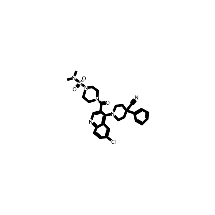 CN(C)S(=O)(=O)N1CCN(C(=O)c2cnc3ccc(Cl)cc3c2N2CCC(C#N)(c3ccccc3)CC2)CC1